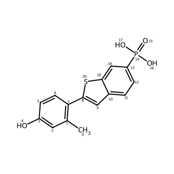 Cc1cc(O)ccc1-c1[c]c2ccc(P(=O)(O)O)cc2s1